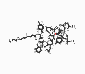 COCCOCCCNCCC(=O)N[C@@H](Cc1ccc(O)cc1)C(=O)N[C@@H](Cc1ccccc1)C(=O)N[C@@H](CC(C)C)C(=O)N[C@@H](Cc1ccccc1)C(=O)N[C@@H](CCC(N)=O)C(=O)N1CCC[C@H]1C(=O)N[C@@H](CCCNC(=N)N)C(=O)N[C@@H](CC(N)=O)C(N)=O